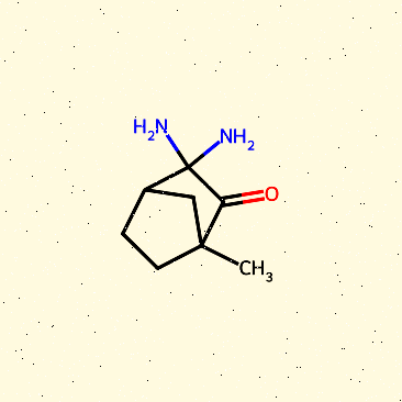 CC12CCC(C1)C(N)(N)C2=O